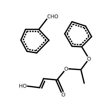 CC(OC(=O)C=CO)Oc1ccccc1.O=Cc1ccccc1